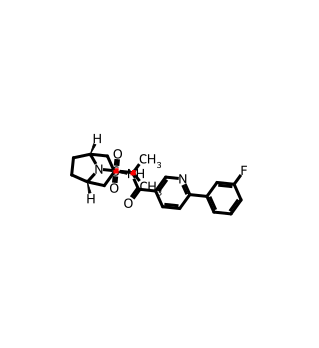 CC(C)S(=O)(=O)N1[C@@H]2CC[C@H]1C[C@H](NC(=O)c1ccc(-c3cccc(F)c3)nc1)C2